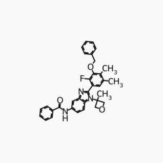 Cc1cc(-c2nc3cc(NC(=O)c4ccccc4)ccc3n2C2(C)COC2)c(F)c(OCc2ccccc2)c1C